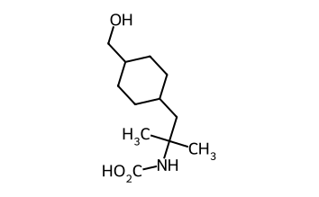 CC(C)(CC1CCC(CO)CC1)NC(=O)O